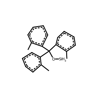 Cc1ccccc1C(O[SiH3])(c1ccccc1C)c1ccccc1C